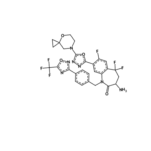 NC1CC(F)(F)c2cc(F)c(-c3nnc(N4CCOC5(CC5)C4)o3)cc2N(Cc2ccc(-c3noc(C(F)(F)F)n3)cc2)C1=O